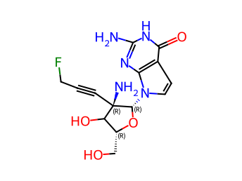 Nc1nc2c(ccn2[C@@H]2O[C@H](CO)C(O)[C@]2(N)C#CCF)c(=O)[nH]1